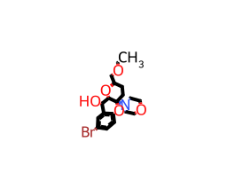 CCOCC1CCC2(N3CCOCC3)Oc3ccc(Br)cc3C(O)C2O1